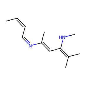 C\C=C/C=N\C(C)=C\C(NC)=C(C)C